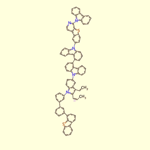 C=Cc1c(/C=C\C)n(-c2cccc(-c3cccc(-c4cccc5c4sc4ccccc45)c3)c2)c2ccc(-n3c4ccccc4c4c(-c5cccc6c5c5ccccc5n6-c5ccc6sc7c(-n8c9ccccc9c9ccccc98)nccc7c6c5)cccc43)cc12